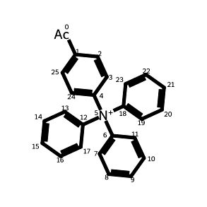 CC(=O)c1ccc([N+](c2ccccc2)(c2ccccc2)c2ccccc2)cc1